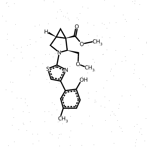 COC[C@H]1N(c2nc(-c3cc(C)ccc3O)cs2)C[C@@H]2C[C@@]21C(=O)OC